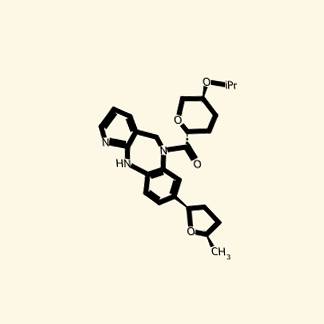 CC(C)O[C@H]1CC[C@H](C(=O)N2Cc3cccnc3Nc3ccc([C@H]4CC[C@@H](C)O4)cc32)OC1